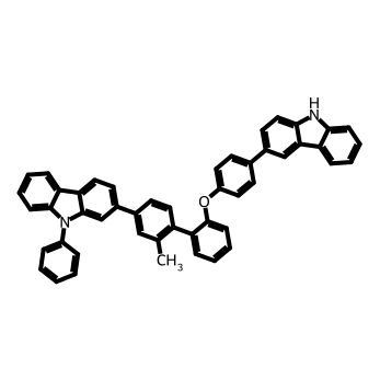 Cc1cc(-c2ccc3c4ccccc4n(-c4ccccc4)c3c2)ccc1-c1ccccc1Oc1ccc(-c2ccc3[nH]c4ccccc4c3c2)cc1